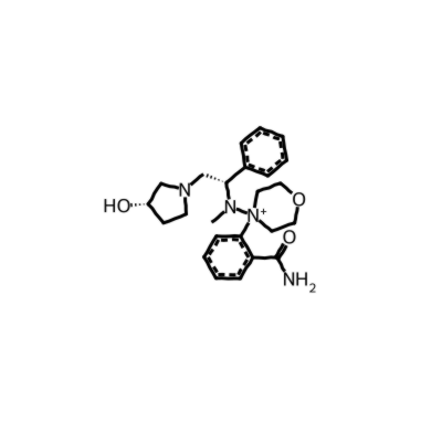 CN([C@H](CN1CC[C@H](O)C1)c1ccccc1)[N+]1(c2ccccc2C(N)=O)CCOCC1